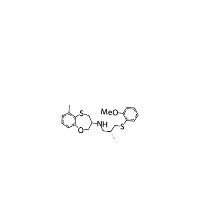 COc1ccccc1SC[C@H](C)CNC1COc2cccc(C)c2SC1